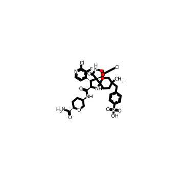 CC1(Cc2ccc(S(=O)(=O)O)cc2)CCC2(CC1)N[C@@H](C(=O)N[C@@H]1CC[C@@H](C(N)=O)OC1)[C@H](c1ccnc(Cl)c1F)[C@]21C(=O)Nc2cc(Cl)ccc21